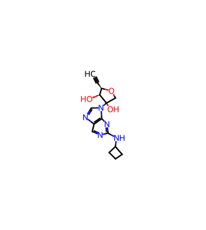 C#C[C@H]1OC[C@](O)(n2cnc3cnc(NC4CCC4)nc32)[C@H]1O